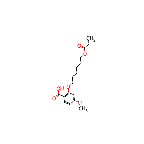 C=CC(=O)OCCCCCCOc1cc(OC)ccc1C(=O)O